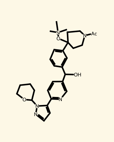 CC(=O)N1CCC(O[Si](C)(C)C)(c2cccc(C(O)c3ccc(-c4ccnn4C4CCCCO4)nc3)c2)CC1